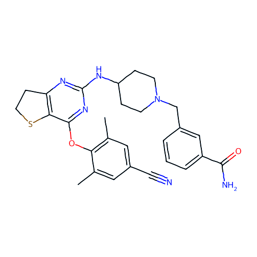 Cc1cc(C#N)cc(C)c1Oc1nc(NC2CCN(Cc3cccc(C(N)=O)c3)CC2)nc2c1SCC2